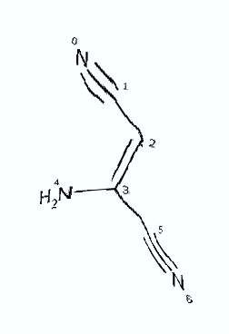 N#C[C]=C(N)C#N